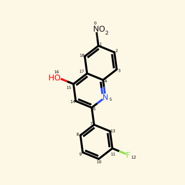 O=[N+]([O-])c1ccc2nc(-c3cccc(F)c3)cc(O)c2c1